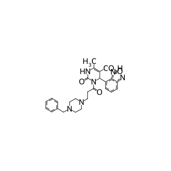 CC1=C(C(=O)O)C(c2cccc3nonc23)N(C(=O)CCN2CCN(Cc3ccccc3)CC2)C(=O)N1